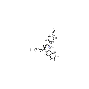 CCOC(=O)c1sc2ccccc2c1/C=C/c1ccc(C#N)cc1